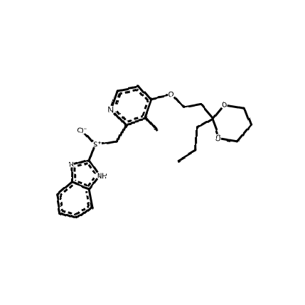 CCCC1(CCOc2ccnc(C[S+]([O-])c3nc4ccccc4[nH]3)c2C)OCCCO1